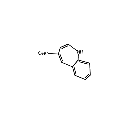 O=CC1=Cc2ccccc2NC=C1